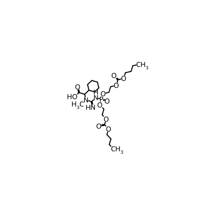 CCCCOC(=O)OCCOP(=O)(NC(=N)N(C)C(C(=O)O)C1CCCCC1)OCCOC(=O)OCCCC